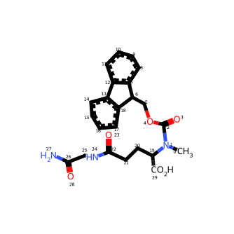 CN(C(=O)OCC1c2ccccc2-c2ccccc21)C(CCC(=O)NCC(N)=O)C(=O)O